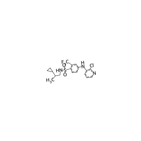 CC(CNS(=O)(=O)c1ccc(Nc2cccnc2Cl)cc1C(F)(F)F)C1CC1